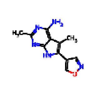 Cc1nc(N)c2c(C)c(-c3cnoc3)[nH]c2n1